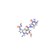 C=CC(=O)N1CCC(N(CC)c2cc(OC)cc(C(=O)NCc3c(C)cc(C)[nH]c3=O)c2C)C1